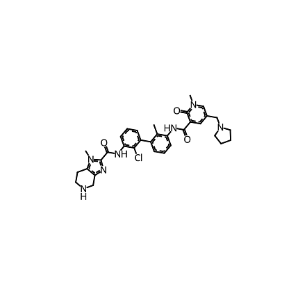 Cc1c(NC(=O)c2cc(CN3CCCC3)cn(C)c2=O)cccc1-c1cccc(NC(=O)c2nc3c(n2C)CCNC3)c1Cl